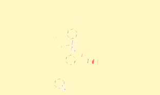 O=C(Nc1ccc(OCc2cccnc2)cc1C(=O)O)c1ccc(Cl)cc1Cl.[LiH]